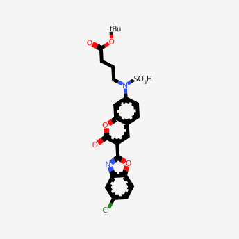 CC(C)(C)OC(=O)CCCN(c1ccc2cc(-c3nc4cc(Cl)ccc4o3)c(=O)oc2c1)S(=O)(=O)O